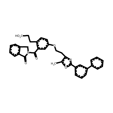 Cc1oc(-c2cccc(-c3ccccc3)c2)nc1CCOc1ccc(CCC(=O)O)c(C(=O)N2Cc3ccccc3C2=O)c1